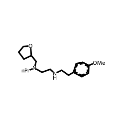 CCCN(CCNCCc1ccc(OC)cc1)CC1CCCO1